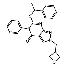 CC(Sc1nc2nn(CC3COC3)cc2c(=O)n1-c1ccccc1)c1ccccc1